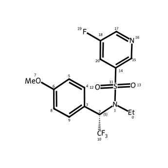 CCN([C@@H](c1ccc(OC)cc1)C(F)(F)F)S(=O)(=O)c1cncc(F)c1